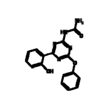 NC(=O)Nc1nc(Oc2ccccc2)nc(-c2ccccc2O)n1